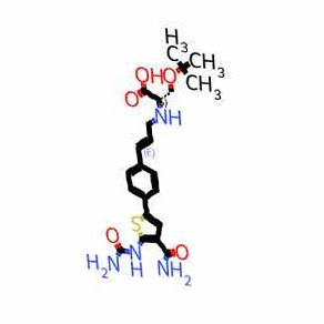 CC(C)(C)OC[C@H](NC/C=C/c1ccc(-c2cc(C(N)=O)c(NC(N)=O)s2)cc1)C(=O)O